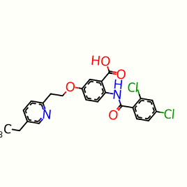 CCc1ccc(CCOc2ccc(NC(=O)c3ccc(Cl)cc3Cl)c(C(=O)O)c2)nc1